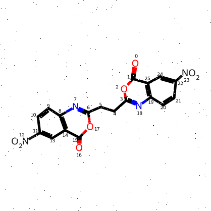 O=c1oc(CCc2nc3ccc([N+](=O)[O-])cc3c(=O)o2)nc2ccc([N+](=O)[O-])cc12